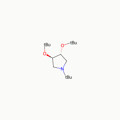 CC(C)(C)O[C@@H]1CN(C(C)(C)C)C[C@H]1OC(C)(C)C